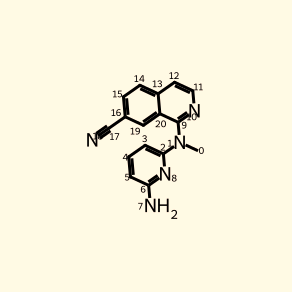 CN(c1cccc(N)n1)c1nccc2ccc(C#N)cc12